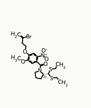 C=C(Br)CCOc1cc([N+](=O)[O-])c(C(=O)N2CCC[C@H]2C(SCC)SCC)cc1OC